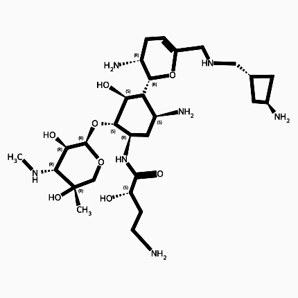 CN[C@@H]1[C@@H](O)[C@@H](O[C@H]2[C@H](NC(=O)[C@@H](O)CCN)C[C@H](N)C([C@H]3OC(CNC[C@H]4C[C@H](N)C4)=CC[C@H]3N)[C@@H]2O)OC[C@]1(C)O